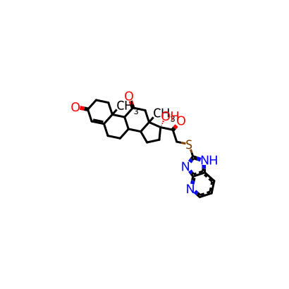 CC12CCC(=O)C=C1CCC1C2C(=O)CC2(C)C1CC[C@]2(O)C(=O)CSc1nc2ncccc2[nH]1